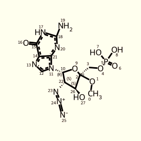 CO[C@]1(COP(=O)(O)O)O[C@@H](n2cnc3c(=O)[nH]c(N)nc32)[C@@H](N=[N+]=[N-])[C@@H]1O